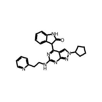 O=C1Nc2ccccc2C1c1nc(NCCc2ccccn2)nc2nn(C3CCCC3)cc12